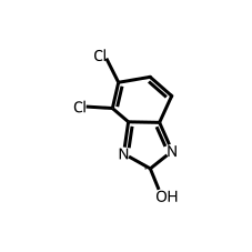 O[C]1N=c2ccc(Cl)c(Cl)c2=N1